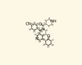 O=C(C1CCNCC1)N(CCOc1ccccc1)[C@H](c1ccc(Cl)cc1)c1cccnc1